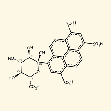 O=C(O)[C@H]1O[C@@](O)(c2cc(S(=O)(=O)O)c3ccc4c(S(=O)(=O)O)cc(S(=O)(=O)O)c5ccc2c3c54)[C@H](O)[C@@H](O)[C@@H]1O